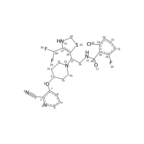 N#Cc1ncccc1OC1CCN(C(CNC(=O)c2c(F)cccc2Cl)C2=C(C(F)F)NCS2)CC1